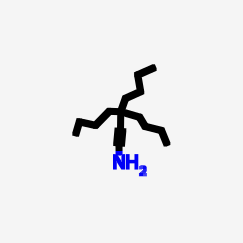 CCCCC(C#CN)(CCCC)CCCC